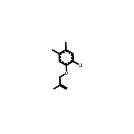 C=C(C)COc1cc(C)c(C)cc1Cl